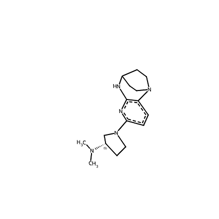 CN(C)[C@H]1CCN(c2ccc3c(n2)NC2CCN3CC2)C1